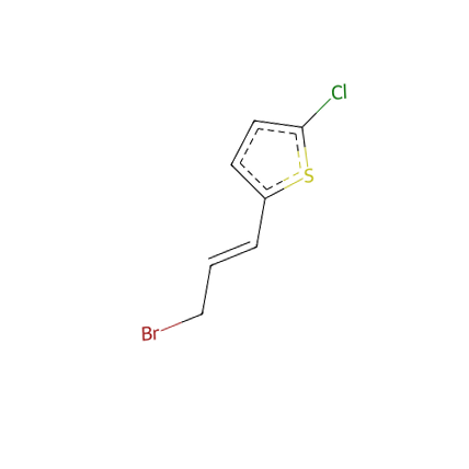 Clc1ccc(C=CCBr)s1